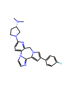 CN(C)[C@H]1CCN(c2ccc3c(n2)Cn2cc(-c4ccc(F)cc4)cc2-c2nccn2-3)C1